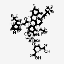 CC(C)(C#Cc1ccc(-c2ccc(Cl)c3c(N(C(=O)OC(CCC(=O)O)CCC(=O)O)S(C)(=O)=O)nn(CC(F)(F)F)c23)c(C(Cc2cc(F)cc(F)c2)NC(=O)Cn2nc(C(F)(F)F)c3c2C(F)(F)[C@@H]2C[C@H]32)n1)S(C)(=O)=O